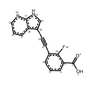 O=C(O)c1cccc(C#Cc2c[nH]c3ncccc23)c1F